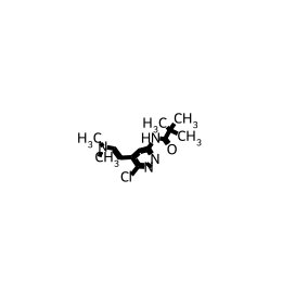 CN(C)C=Cc1cc(NC(=O)C(C)(C)C)nnc1Cl